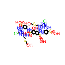 Nc1c(/N=N/c2ccc(SOOO)c(Nc3nc(Cl)nc(NCCSCCO)n3)c2)c(SOOO)cc2cc(S(=O)(=O)O)c(/N=N/c3ccc(S(=O)(=O)O)c(Nc4nc(Cl)nc(NCCSCCO)n4)c3)c(O)c12